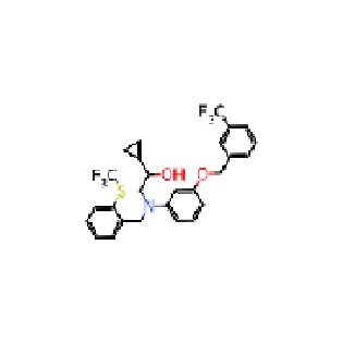 OC(CN(Cc1ccccc1SC(F)(F)F)c1cccc(OCc2cccc(C(F)(F)F)c2)c1)C1CC1